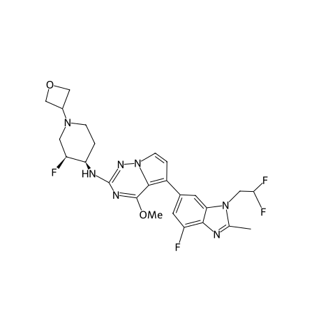 COc1nc(N[C@@H]2CCN(C3COC3)C[C@@H]2F)nn2ccc(-c3cc(F)c4nc(C)n(CC(F)F)c4c3)c12